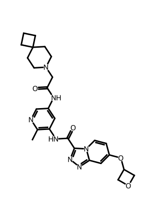 Cc1ncc(NC(=O)CN2CCC3(CCC3)CC2)cc1NC(=O)c1nnc2cc(OC3COC3)ccn12